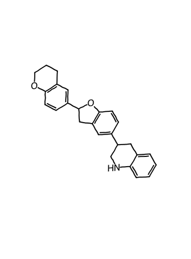 c1ccc2c(c1)CC(c1ccc3c(c1)CC(c1ccc4c(c1)CCCO4)O3)CN2